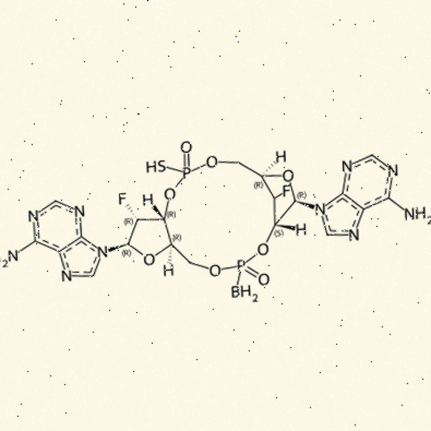 BP1(=O)OC[C@H]2O[C@@H](n3cnc4c(N)ncnc43)[C@H](F)[C@@H]2OP(=O)(S)OC[C@H]2O[C@@H](n3cnc4c(N)ncnc43)[C@H](O1)C2F